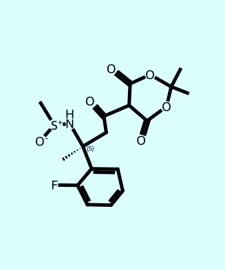 C[S+]([O-])N[C@@](C)(CC(=O)C1C(=O)OC(C)(C)OC1=O)c1ccccc1F